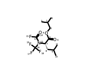 CC(C)COC(=O)[C@H](CC(C)C)N(C(=O)F)C(F)(F)F